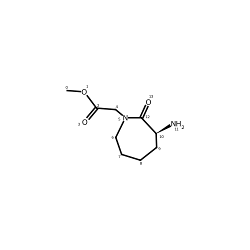 COC(=O)CN1CCCC[C@H](N)C1=O